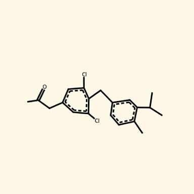 CC(=O)Cc1cc(Cl)c(Cc2ccc(C)c(C(C)C)c2)c(Cl)c1